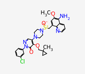 COc1cc(C[S+]([O-])N2CCN(c3cnn(-c4cccc(Cl)c4)c(=O)c3OCC3(C)CC3)CC2)c2ncccc2c1N